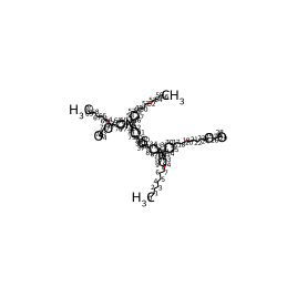 CCCCCCCCc1ccc(N(c2ccc(CCCCCCCCOCC3CO3)cc2)c2ccc(-c3ccc(-c4ccc(N(c5ccc(CCCCCCCC)cc5)c5ccc(C(CCCCCCC)OCC6CO6)cc5)cc4)s3)cc2)cc1